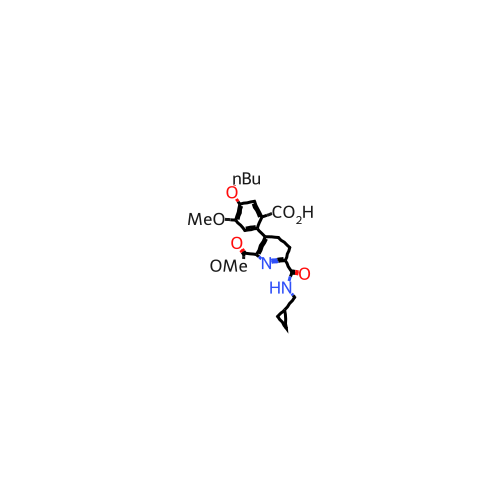 CCCCOc1cc(C(=O)O)c(C2=C(C(=O)OC)N=C(C(=O)NCC3CC3)CC2)cc1OC